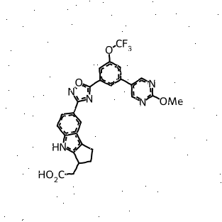 COc1ncc(-c2cc(OC(F)(F)F)cc(-c3nc(-c4ccc5[nH]c6c(c5c4)CCC6CC(=O)O)no3)c2)cn1